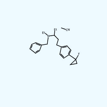 CC#N.CCC(CCc1ccc(C2(F)CC2)cc1)N(CC)Cc1ccccc1